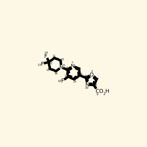 O=C(O)c1coc(-c2cnc(N3CCC(F)(F)CC3)c(F)c2)n1